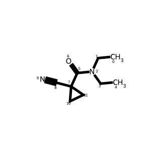 CCN(CC)C(=O)C1(C#N)CC1